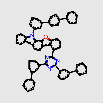 c1ccc(-c2ccc(-c3cccc(-n4c5ccccc5c5ccc6c(oc7cccc(-c8nc(-c9cccc(-c%10ccccc%10)c9)nc(-c9cccc(-c%10ccccc%10)c9)n8)c76)c54)c3)cc2)cc1